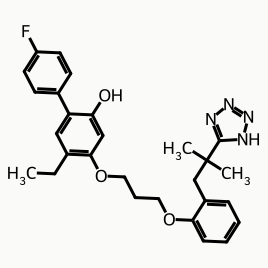 CCc1cc(-c2ccc(F)cc2)c(O)cc1OCCCOc1ccccc1CC(C)(C)c1nnn[nH]1